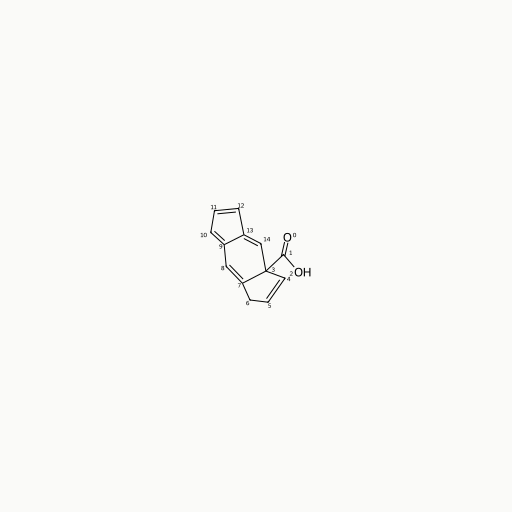 O=C(O)C12C=CCC1=CC1=CC=CC1=C2